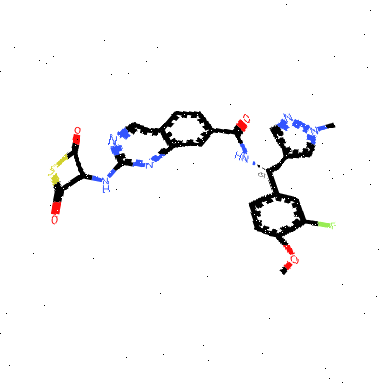 COc1ccc([C@H](NC(=O)c2ccc3cnc(NC4C(=O)SC4=O)nc3c2)c2cnn(C)c2)cc1F